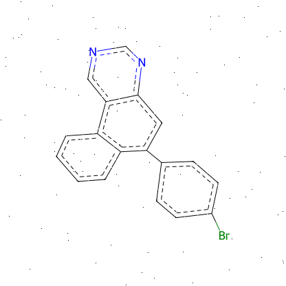 Brc1ccc(-c2cc3ncncc3c3ccccc23)cc1